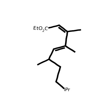 CCOC(=O)C=C(C)C(C)=CC(C)CCC(C)C